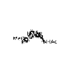 COc1cc(N2CCN3[C@@H](CCC[C@@H]3c3ccc(OCCCNC(C)=O)c(C)c3C)C2)ccc1F